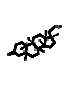 C[C@]12CCC(=O)C[C@H]1CC[C@@H]1[C@@H]2CC[C@@]2(C)[C@H]1CC[C@]2(C)CC(=O)O